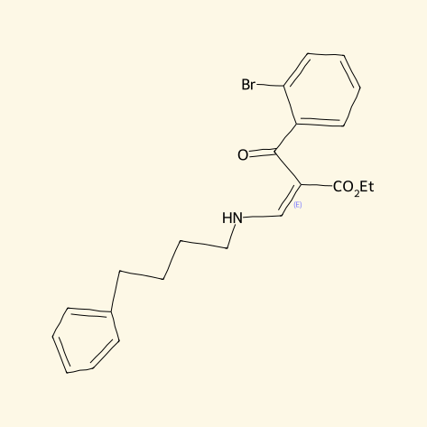 CCOC(=O)/C(=C/NCCCCc1ccccc1)C(=O)c1ccccc1Br